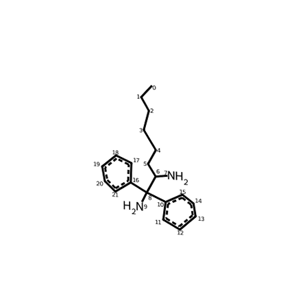 CCCCCCC(N)C(N)(c1ccccc1)c1ccccc1